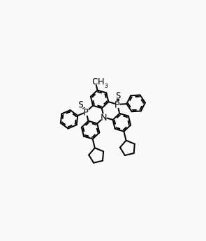 Cc1cc2c3c(c1)P(=S)(c1ccccc1)c1ccc(C4CCCC4)cc1N3c1cc(C3CCCC3)ccc1P2(=S)c1ccccc1